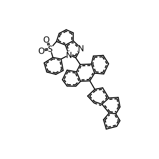 O=S1(=O)c2ccccc2-n2c(-c3c4ccccc4c(-c4ccc5c(ccc6ccccc65)c4)c4ccccc34)nc3cccc1c32